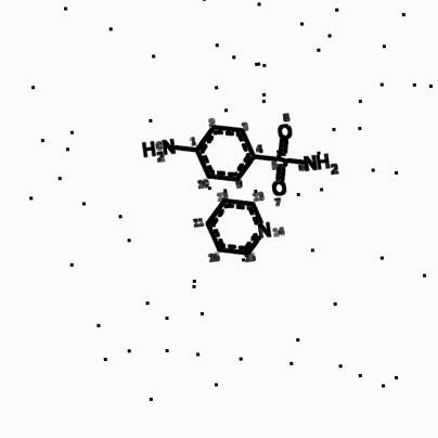 Nc1ccc(S(N)(=O)=O)cc1.c1ccncc1